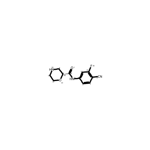 N#Cc1ccc(NC(=O)[C@H]2CNCCO2)cc1F